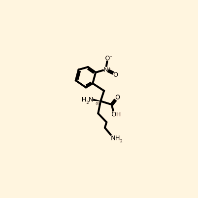 NCCC[C@](N)(Cc1ccccc1[N+](=O)[O-])C(=O)O